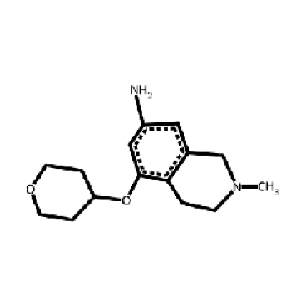 CN1CCc2c(cc(N)cc2OC2CCOCC2)C1